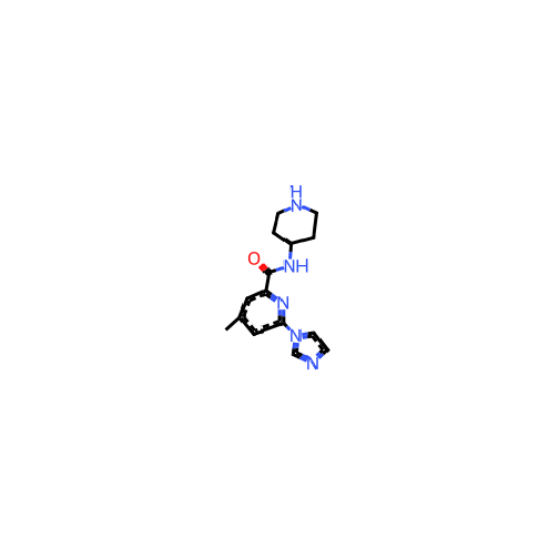 Cc1cc(C(=O)NC2CCNCC2)nc(-n2ccnc2)c1